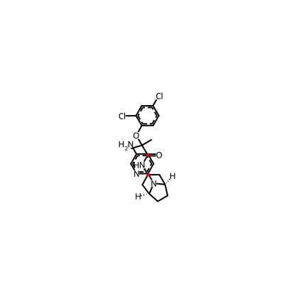 CC(C)(Oc1ccc(Cl)cc1Cl)C(=O)N[C@H]1C[C@H]2CC[C@@H](C1)N2c1ccc(N)cn1